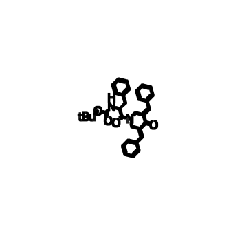 CC(C)(C)OC(=O)N[C@@H](Cc1ccccc1)C(=O)N1C/C(=C\c2ccccc2)C(=O)/C(=C/c2ccccc2)C1